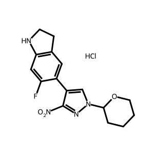 Cl.O=[N+]([O-])c1nn(C2CCCCO2)cc1-c1cc2c(cc1F)NCC2